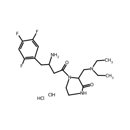 CCN(CC)CC1C(=O)NCCN1C(=O)CC(N)Cc1cc(F)c(F)cc1F.Cl.Cl